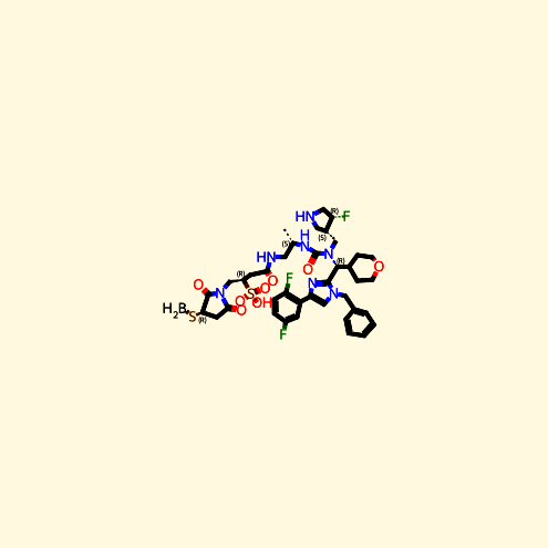 BS[C@@H]1CC(=O)N(C[C@@H](CC(=O)NC[C@H](C)NC(=O)N(C[C@@H]2CNC[C@@H]2F)[C@@H](c2nc(-c3cc(F)ccc3F)cn2Cc2ccccc2)C2CCOCC2)S(=O)(=O)O)C1=O